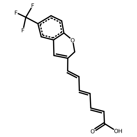 O=C(O)/C=C/C=C/C=C/C1=Cc2cc(C(F)(F)F)ccc2OC1